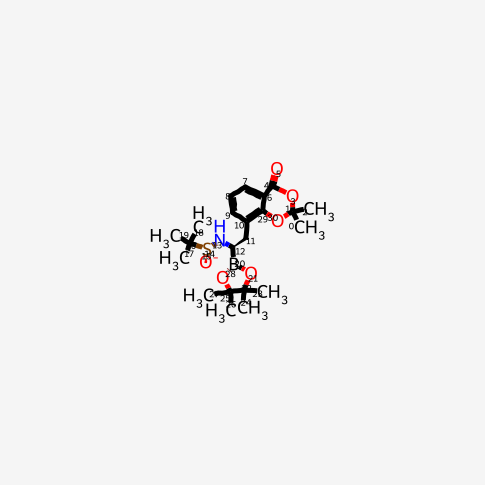 CC1(C)OC(=O)c2cccc(C[C@H](N[S@+]([O-])C(C)(C)C)B3OC(C)(C)C(C)(C)O3)c2O1